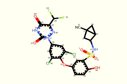 N#CC12CC(NS(=O)(=O)c3cc(Oc4c(Cl)cc(-n5nc(C(F)F)c(=O)[nH]c5=O)cc4Cl)ccc3O)C1C2